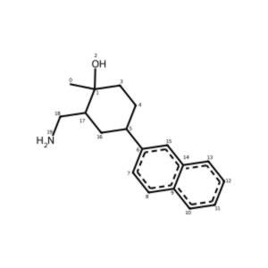 CC1(O)CCC(c2ccc3ccccc3c2)CC1CN